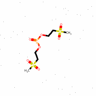 CS(=O)(=O)CCO[PH](=O)OCCS(C)(=O)=O